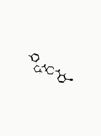 N#Cc1cccc(C(=O)N2CCC3(CC2)O[C@@H]2CC[C@@H](c4cccc(F)c4)N2C3=O)c1F